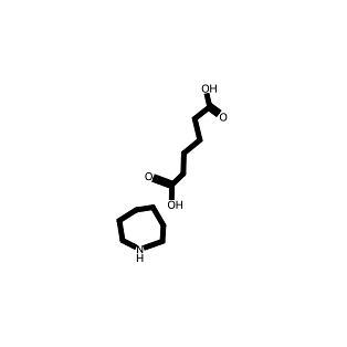 C1CCCNCC1.O=C(O)CCCCC(=O)O